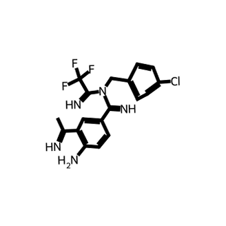 CC(=N)c1cc(C(=N)N(Cc2ccc(Cl)cc2)C(=N)C(F)(F)F)ccc1N